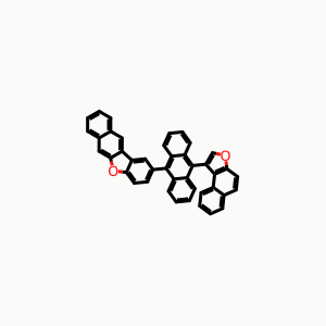 c1ccc2cc3c(cc2c1)oc1ccc(-c2c4ccccc4c(-c4coc5ccc6ccccc6c45)c4ccccc24)cc13